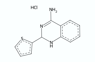 Cl.NC1=NC(c2cccs2)Nc2ccccc21